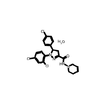 O.O=C(NN1CCCCC1)C1=NN(c2ccc(Cl)cc2Cl)C(c2ccc(Cl)cc2)C1